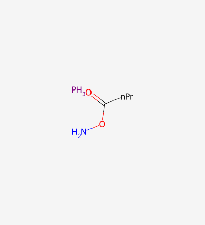 CCCC(=O)ON.P